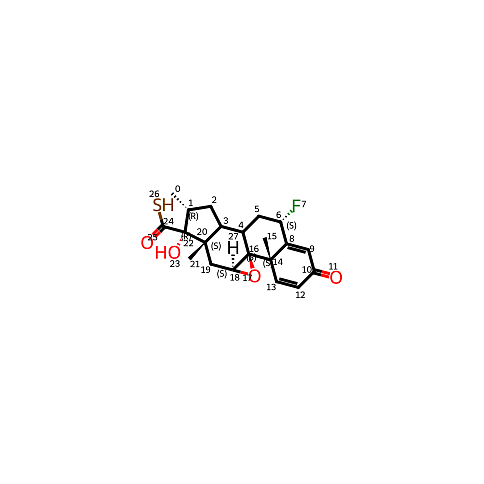 C[C@@H]1CC2C3C[C@H](F)C4=CC(=O)C=C[C@]4(C)[C@@]34O[C@H]4C[C@]2(C)[C@@]1(O)C(=O)S